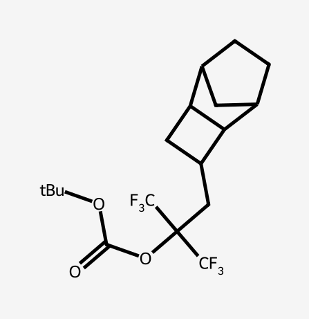 CC(C)(C)OC(=O)OC(CC1CC2C3CCC(C3)C12)(C(F)(F)F)C(F)(F)F